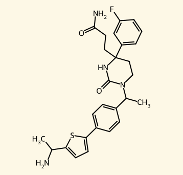 CC(N)c1ccc(-c2ccc(C(C)N3CCC(CCC(N)=O)(c4cccc(F)c4)NC3=O)cc2)s1